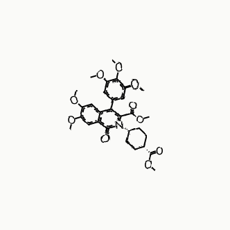 COC(=O)c1c(-c2cc(OC)c(OC)c(OC)c2)c2cc(OC)c(OC)cc2c(=O)n1[C@H]1CC[C@@H](C(=O)OC)CC1